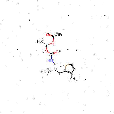 Cc1ccsc1C[C@@H](CNC(=O)O[C@H](C)OC(=O)C(C)C)C(=O)O